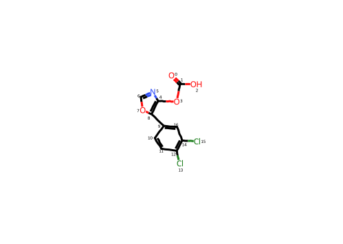 O=C(O)Oc1ncoc1-c1ccc(Cl)c(Cl)c1